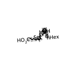 CCCCCCOC[C@@H]1C(COc2ccc(CCCCC(=O)O)[se]2)[C@@H]2CC[C@H]1O2